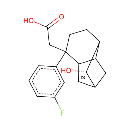 O=C(O)CC1(c2cccc(F)c2)CCC2C3CC(CC31)[C@@H]2O